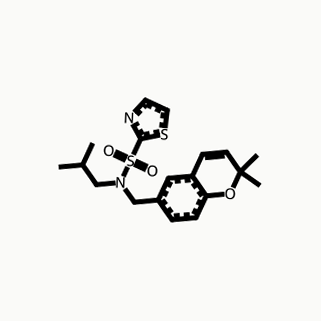 CC(C)CN(Cc1ccc2c(c1)C=CC(C)(C)O2)S(=O)(=O)c1nccs1